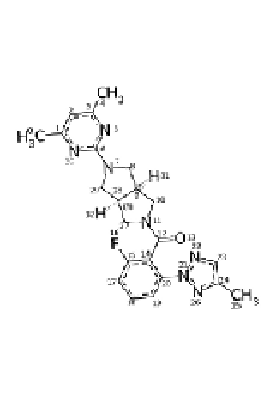 Cc1cc(C)nc(N2C[C@H]3CN(C(=O)c4c(F)cccc4-n4ncc(C)n4)C[C@H]3C2)n1